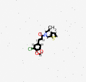 C=CCN(Cc1cccs1)C(=O)C=Cc1cc(Cl)c2c(c1)OCO2